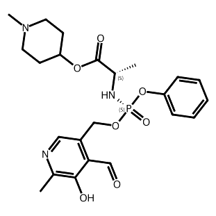 Cc1ncc(CO[P@@](=O)(N[C@@H](C)C(=O)OC2CCN(C)CC2)Oc2ccccc2)c(C=O)c1O